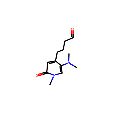 CN(C)c1cn(C)c(=O)cc1CCCC=O